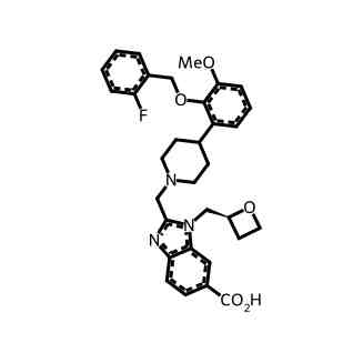 COc1cccc(C2CCN(Cc3nc4ccc(C(=O)O)cc4n3C[C@@H]3CCO3)CC2)c1OCc1ccccc1F